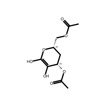 CC(=O)OC[C@@H]1C[C@H](OC(C)=O)C(O)=C(O)O1